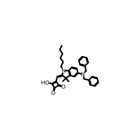 CCCCCCN1/C(=C/c2c(O)c(=O)c2=O)C(C)(C)c2cc(N(Cc3ccccc3)Cc3ccccc3)ccc21